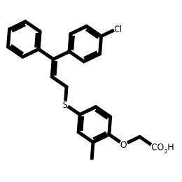 Cc1cc(SCC=C(c2ccccc2)c2ccc(Cl)cc2)ccc1OCC(=O)O